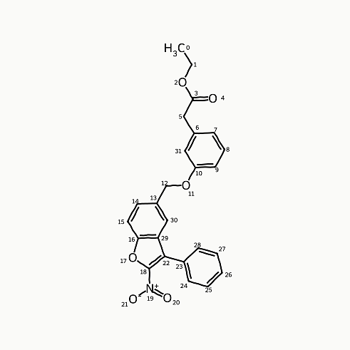 CCOC(=O)Cc1cccc(OCc2ccc3oc([N+](=O)[O-])c(-c4ccccc4)c3c2)c1